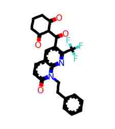 O=C1CCCC(=O)C1C(=O)c1cc2ccc(=O)n(CCc3ccccc3)c2nc1C(F)(F)F